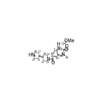 COC(=O)C[C@H]1Nc2ccc(C(=O)N3CCC(C4CCNCC4)CC3)cc2CN(C)C1=O